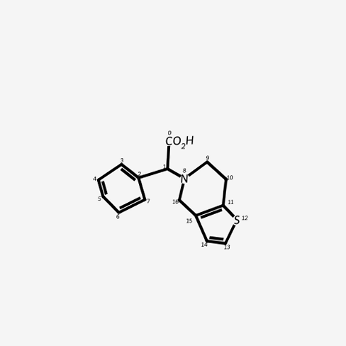 O=C(O)C(c1ccccc1)N1CCc2sccc2C1